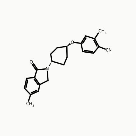 Cc1ccc2c(c1)CN([C@H]1CC[C@H](Oc3ccc(C#N)c(C)c3)CC1)C2=O